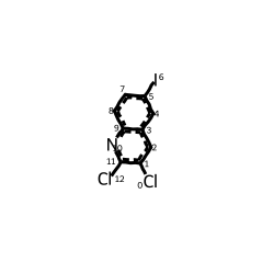 Clc1cc2cc(I)ccc2nc1Cl